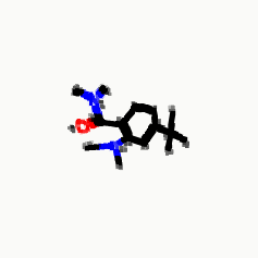 CN(C)C(=O)c1ccc(C(C)(C)C)cc1N(C)C